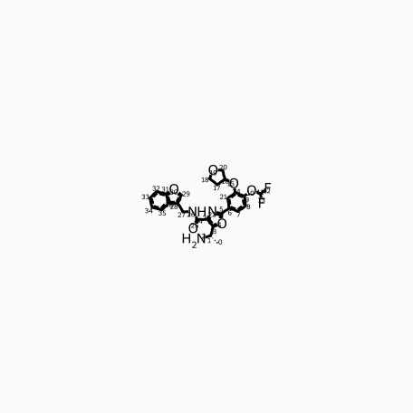 C[C@H](N)c1oc(-c2ccc(OC(F)F)c(OC3CCOC3)c2)nc1C(=O)NCc1coc2ccccc12